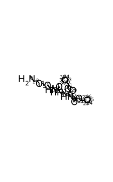 NCCOCCOCCNC(=O)NCCC(NCC(=O)OCc1ccccc1)C(=O)OCc1ccccc1